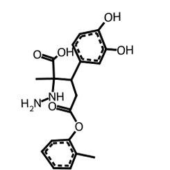 Cc1ccccc1OC(=O)CC(c1ccc(O)c(O)c1)C(C)(NN)C(=O)O